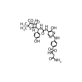 CC1(C)S[C@@H]2[C@H](C(NC(=O)Nc3cnc(Nc4ccc(S(=O)(=O)NCC(N)=O)cc4)nc3O)c3ccc(O)cc3)C(=O)N2[C@H]1C(=O)O